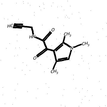 C#CCNC(=O)C(=O)c1c(C)cn(C)c1C